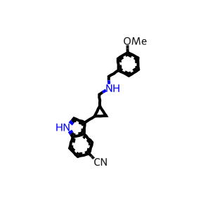 COc1cccc(CNCC2CC2c2c[nH]c3ccc(C#N)cc23)c1